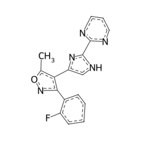 Cc1onc(-c2ccccc2F)c1-c1c[nH]c(-c2ncccn2)n1